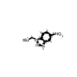 CC(C)(C)Cn1nnc2cc([N+](=O)[O-])ccc21